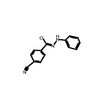 N#Cc1ccc(C(Cl)=NNc2ccccc2)cc1